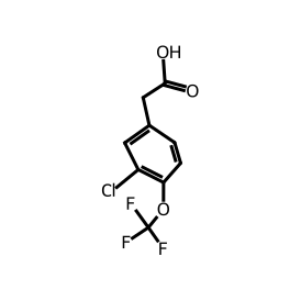 O=C(O)Cc1ccc(OC(F)(F)F)c(Cl)c1